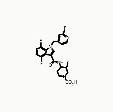 O=C(NC1CCN(C(=O)O)CC1F)c1cn(Cc2ccnc(F)c2)c2c(F)ccc(F)c12